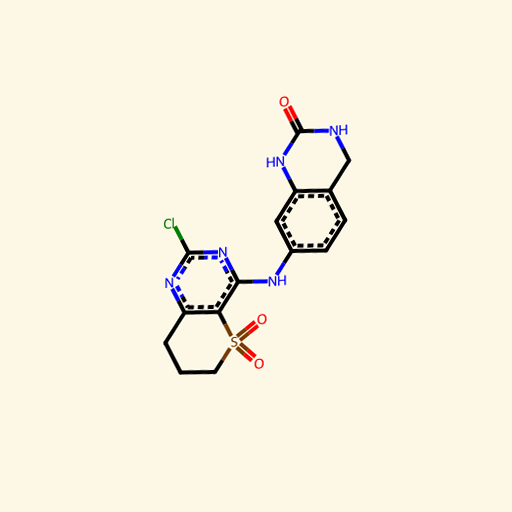 O=C1NCc2ccc(Nc3nc(Cl)nc4c3S(=O)(=O)CCC4)cc2N1